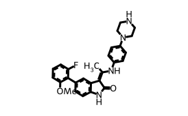 COc1cccc(F)c1-c1ccc2c(c1)/C(=C(\C)Nc1ccc(N3CCNCC3)cc1)C(=O)N2